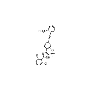 CC1(C)Oc2cc(C#Cc3ccccc3C(=O)O)ccc2-c2nc(-c3c(F)cccc3Cl)[nH]c21